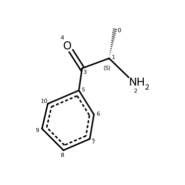 C[C@H](N)C(=O)c1c[c]ccc1